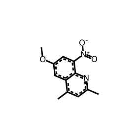 COc1cc([N+](=O)[O-])c2nc(C)cc(C)c2c1